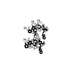 CCOC(=O)C[C@H](NC(=O)C(CC(C)C)n1cc(CCN2CC3(CCCC3)C2)c(C(F)(F)F)cc1=O)c1c(F)c(C)cc(-c2c(C)cccc2C)c1F.Cc1cc(-c2c(C)cccc2C)c(F)c([C@H](CC(=O)O)NC(=O)C(CC(C)C)n2cc(CCN3CC4(CCCC4)C3)c(C(F)(F)F)cc2=O)c1F